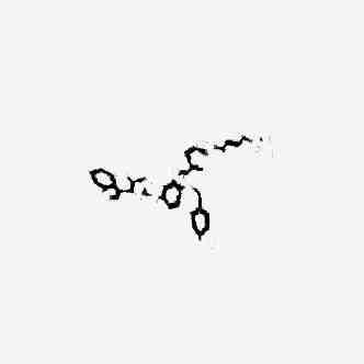 COc1ccc(Cn2c(-c3ccc(NC(=O)C=CCN(C)C)cc3)nc3cc(Nc4ncc(Cl)c(-c5c[nH]c6ccccc56)n4)ccc32)cc1